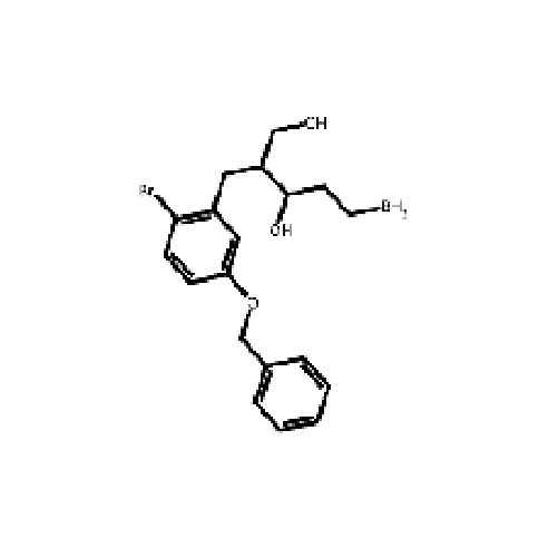 BCCC(O)C(CO)Cc1cc(OCc2ccccc2)ccc1Br